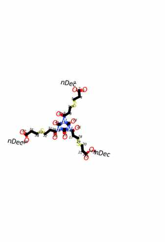 CCCCCCCCCCOC(=O)CCSCCC(=O)n1c(=O)n(C(=O)CCSCCC(=O)OCCCCCCCCCC)c(=O)n(C(=O)CCSCCC(=O)OCCCCCCCCCC)c1=O